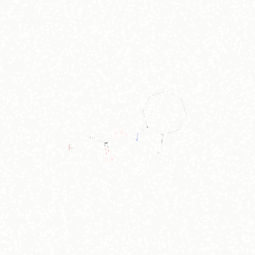 O=C(CBr)ON=C1CCCCCCC1Cl